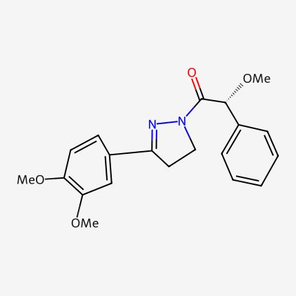 COc1ccc(C2=NN(C(=O)[C@H](OC)c3ccccc3)CC2)cc1OC